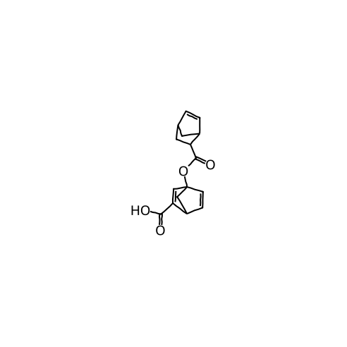 O=C(O)C1=CC2(OC(=O)C3CC4C=CC3C4)C=CC1C2